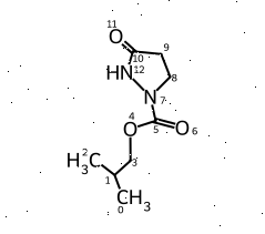 CC(C)COC(=O)N1CCC(=O)N1